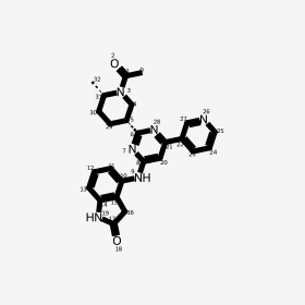 CC(=O)N1C[C@H](c2nc(Nc3cccc4c3CC(=O)N4)cc(-c3cccnc3)n2)CC[C@@H]1C